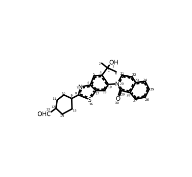 CC(C)(O)c1cc2nc(C3CCC(C=O)CC3)sc2cc1-n1ccc2ccccc2c1=O